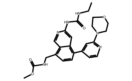 CCNC(=O)Nc1cc2c(-c3ccnc(N4CCOCC4)c3)ccc(CNC(=O)OC)c2cn1